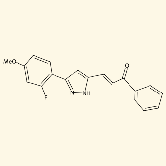 COc1ccc(-c2cc(/C=C/C(=O)c3ccccc3)[nH]n2)c(F)c1